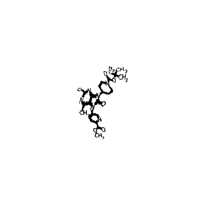 COC(=O)c1ccc(-n2c(=O)n(C3CCN(C(=O)OC(C)(C)C)CC3)c3nc(Cl)nc(C)c32)cn1